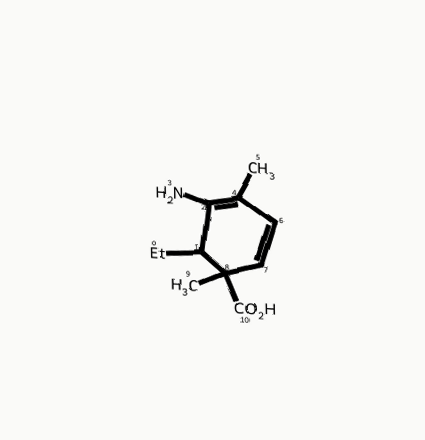 CCC1C(N)=C(C)C=CC1(C)C(=O)O